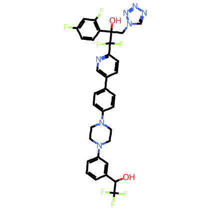 OC(c1cccc(N2CCN(c3ccc(-c4ccc(C(F)(F)C(O)(Cn5cnnn5)c5ccc(F)cc5F)nc4)cc3)CC2)c1)C(F)(F)F